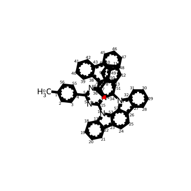 Cc1ccc(-c2nc(-c3ccccc3)nc(-n3c4ccccc4c4ccc5c6ccccc6n(-c6ccc7c8ccccc8c8ccccc8c7c6)c5c43)n2)cc1